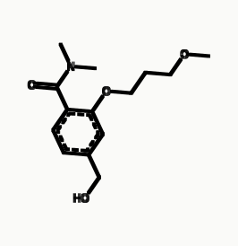 COCCCOc1cc(CO)ccc1C(=O)N(C)C